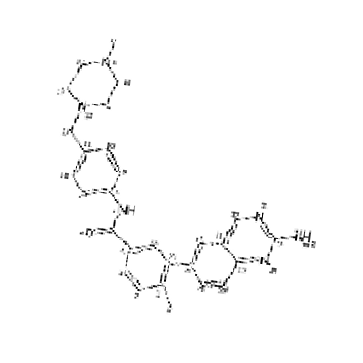 Cc1ccc(C(=O)Nc2ccc(CN3CCN(C)CC3)cc2)cc1-c1ccc2nc(N)ncc2c1